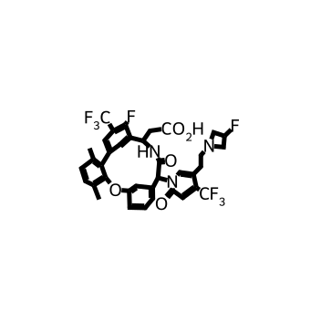 Cc1ccc(C)c2c1Oc1cccc(c1)C(n1cc(CCN3CC(F)C3)c(C(F)(F)F)cc1=O)C(=O)NC(CC(=O)O)c1cc-2cc(C(F)(F)F)c1F